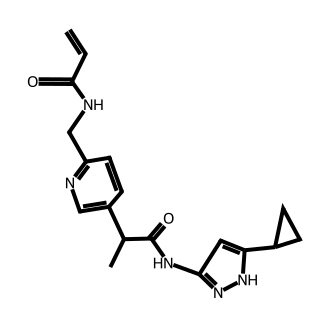 C=CC(=O)NCc1ccc(C(C)C(=O)Nc2cc(C3CC3)[nH]n2)cn1